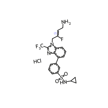 Cl.NC/C=C(\F)Cn1c(C(F)(F)F)nc2c(-c3cccc(S(=O)(=O)NC4CC4)c3)cccc21